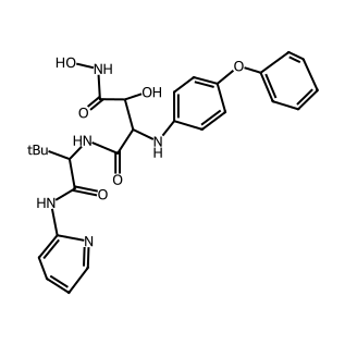 CC(C)(C)C(NC(=O)C(Nc1ccc(Oc2ccccc2)cc1)C(O)C(=O)NO)C(=O)Nc1ccccn1